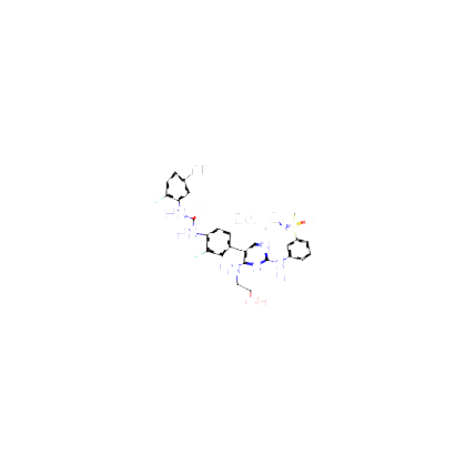 CCOC(=O)N=S(C)(=O)c1cccc(Nc2ncc(-c3ccc(NC(=O)Nc4cc(C(F)(F)F)ccc4F)c(F)c3)c(N[C@H](C)CO)n2)c1